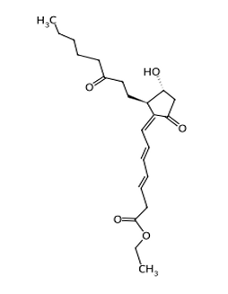 CCCCCC(=O)CC[C@@H]1/C(=C/C=C/C=C/CC(=O)OCC)C(=O)C[C@H]1O